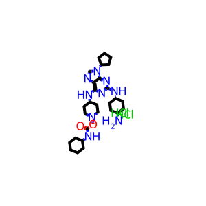 Cl.Cl.N[C@H]1CC[C@H](Nc2nc(NC3CCN(OC(=O)NC4CCCCC4)CC3)c3ncn(C4CCCC4)c3n2)CC1